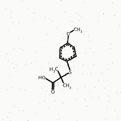 COc1ccc(SC(C)(C)C(=O)O)cc1